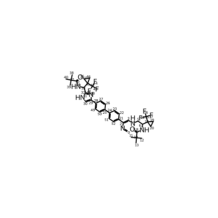 C=N/C(=C\NCC(NC(=O)C(C)(C)C)C1(C(F)(F)F)CC1)c1ccc(-c2ccc(-c3c[nH]c(C(NC(=O)C(C)(C)C)C4(C(F)(F)F)CC4)n3)cc2)cc1